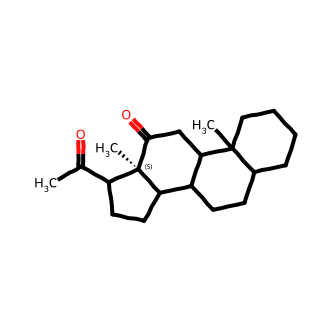 CC(=O)C1CCC2C3CCC4CCCCC4(C)C3CC(=O)[C@]12C